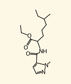 CCOC(=O)C(CCCC(C)CC)NC(=O)c1ccnn1C